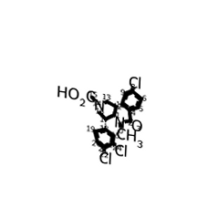 CN(C(=O)c1ccc(Cl)cc1)[C@@H]1CCN(C(=O)O)C[C@H]1c1ccc(Cl)c(Cl)c1